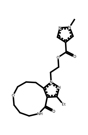 CCc1nn(CCOC(=O)c2cnn(C)c2)c2c1C(=O)NCCCOCCC2